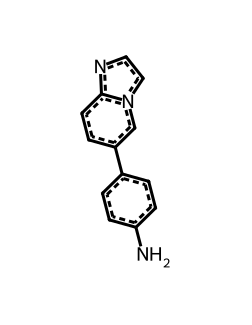 Nc1ccc(-c2ccc3nccn3c2)cc1